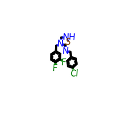 Fc1ccc(CN2CNSC2=NCc2ccc(Cl)cc2)cc1F